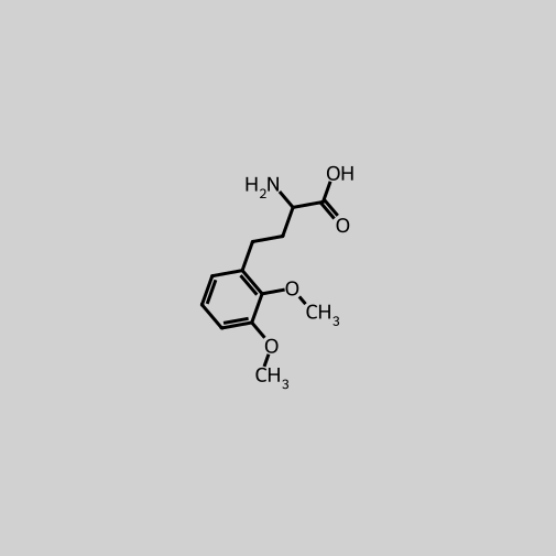 COc1cccc(CCC(N)C(=O)O)c1OC